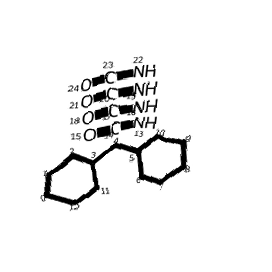 C1CCC(CC2CCCCC2)CC1.N=C=O.N=C=O.N=C=O.N=C=O